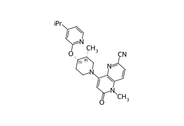 CC(C)c1ccnc(O[C@H]2CCN(c3cc(=O)n(C)c4ccc(C#N)nc34)C[C@H]2C)c1